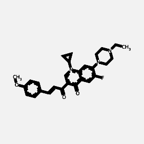 CCN1CCN(c2cc3c(cc2F)c(=O)c(C(=O)/C=C/c2ccc(OC)cc2)cn3C2CC2)CC1